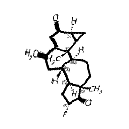 C=C1C[C@H]2[C@@H]3C[C@@H](F)C(=O)[C@@]3(C)CC[C@@H]2[C@]2(C)C1=CC(=O)[C@H]1CC12